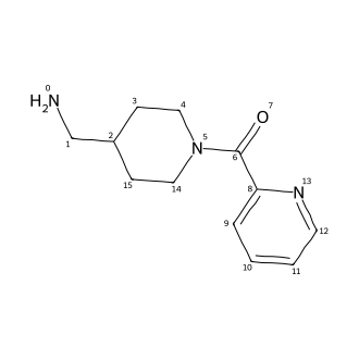 NCC1CCN(C(=O)c2ccccn2)CC1